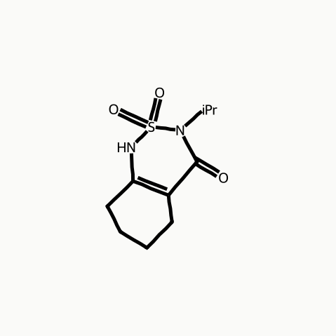 CC(C)N1C(=O)C2=C(CCCC2)NS1(=O)=O